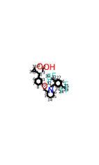 O=C(O)C[C@H](c1cccc(OCC2CCCCN2Cc2cc(C(F)(F)F)ccc2C(F)(F)F)c1)C1CC1